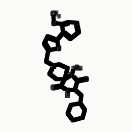 CCCCN1C(=O)C(CC2CCCCC2)NC(=O)C12CCN(Cc1ccc(-c3ccccc3OC(F)(F)F)o1)CC2